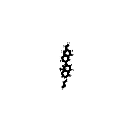 C=CCC[C@@H]1CC[C@@H]2CC(C3CCc4cc(C=C)ccc4C3)CCC2C1